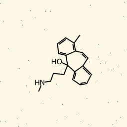 CNCCCC1(O)c2ccccc2C=Cc2c(C)cccc21